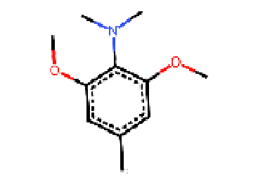 [CH]c1cc(OC)c(N(C)C)c(OC)c1